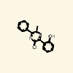 Cc1nc(-c2ccccc2O)c(Cl)nc1-c1ccccc1